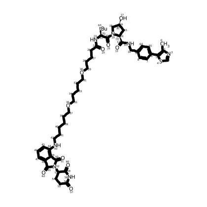 Cc1ncsc1-c1ccc(CNC(=O)[C@@H]2C[C@@H](O)CN2C(=O)[C@@H](NC(=O)CCCCOCCCCCOCCCCCCNc2cccc3c2C(=O)N(C2CCC(=O)NC2=O)C3=O)C(C)(C)C)cc1